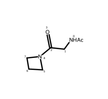 CC(=O)NCC(=O)N1CCC1